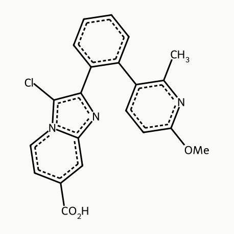 COc1ccc(-c2ccccc2-c2nc3cc(C(=O)O)ccn3c2Cl)c(C)n1